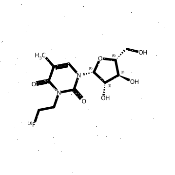 Cc1cn([C@@H]2O[C@H](CO)[C@@H](O)[C@@H]2O)c(=O)n(CC[18F])c1=O